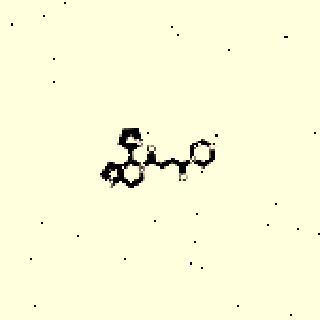 O=C(CCC(=O)N1CCc2sccc2C1c1cccs1)N1CCOCC1